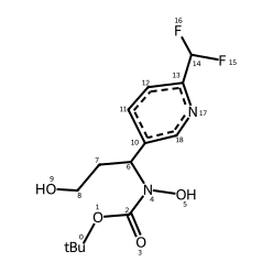 CC(C)(C)OC(=O)N(O)C(CCO)c1ccc(C(F)F)nc1